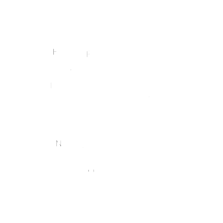 CN1Cc2c(cc(C3CCC3)cc2C(F)(F)F)C1=O